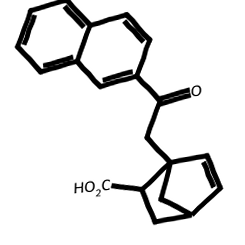 O=C(CC12C=CC(CC1C(=O)O)C2)c1ccc2ccccc2c1